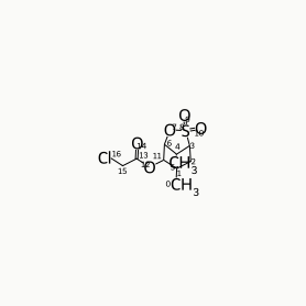 CC1CC2C(C)C(OS2(=O)=O)C1OC(=O)CCl